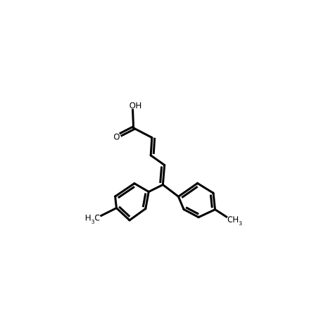 Cc1ccc(C(=C/C=C/C(=O)O)c2ccc(C)cc2)cc1